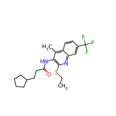 CCSc1nc2cc(C(F)(F)F)ccc2c(C)c1NC(=O)CCC1CCCC1